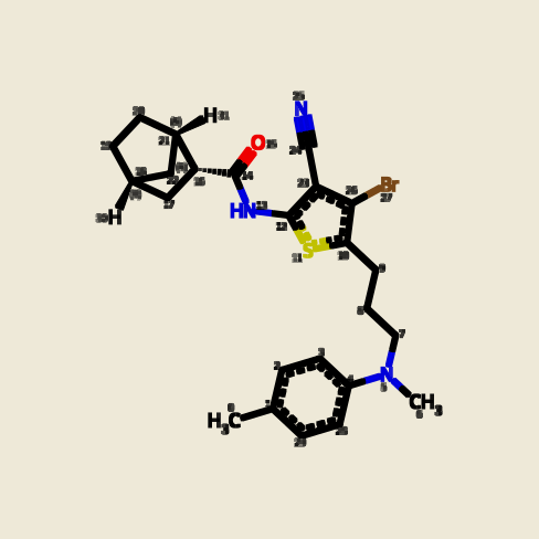 Cc1ccc(N(C)CCCc2sc(NC(=O)[C@@H]3C[C@@H]4CC[C@H]3C4)c(C#N)c2Br)cc1